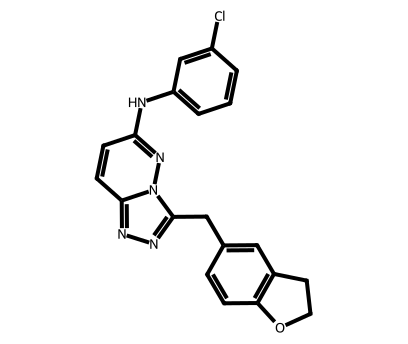 Clc1cccc(Nc2ccc3nnc(Cc4ccc5c(c4)CCO5)n3n2)c1